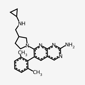 Cc1cccc(C)c1-c1cc2cnc(N)nc2nc1N1CCC(CNC2CC2)C1